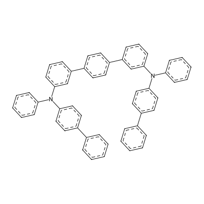 c1ccc(-c2ccc(N(c3ccccc3)c3cccc(-c4ccc(-c5cccc(N(c6ccccc6)c6ccc(-c7ccccc7)cc6)c5)cc4)c3)cc2)cc1